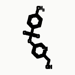 Cc1ccc(S(=O)(=O)Oc2ccc(CO)nc2)cc1